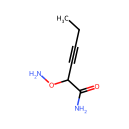 CCC#CC(ON)C(N)=O